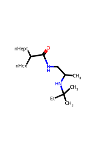 CCCCCCCC(CCCCCC)C(=O)NCC(C)NC(C)(C)CC